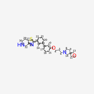 Cc1c(OCCCN2CCC3(COC3)C2)cccc1-c1cccc(-c2nc3c(s2)CCNC3)c1C